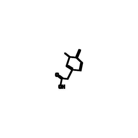 C=C1C=CC(CC(=O)O)=CC1C